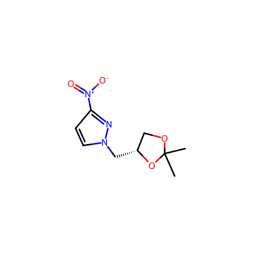 CC1(C)OC[C@@H](Cn2ccc([N+](=O)[O-])n2)O1